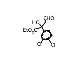 CCOC(=O)C(O)(CC=O)c1ccc(Cl)c(Cl)c1